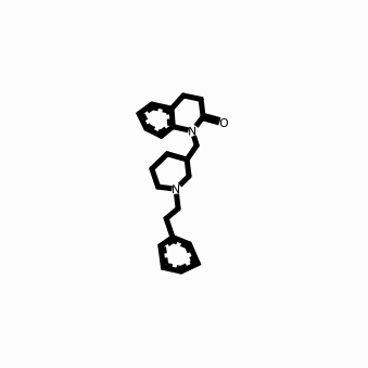 O=C1CCc2ccccc2N1CC1CCCN(CCc2ccccc2)C1